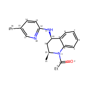 CCC(=O)N1c2ccccc2[C@H](Nc2ccc(C(C)C)cn2)C[C@@H]1C